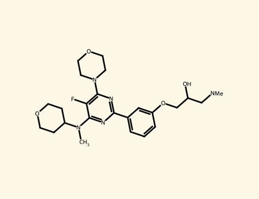 CNCC(O)COc1cccc(-c2nc(N3CCOCC3)c(F)c(N(C)C3CCOCC3)n2)c1